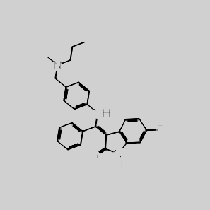 CCCN(C)Cc1ccc(NC(=C2C(=O)Nc3cc(F)ccc32)c2ccccc2)cc1